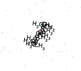 CC(=O)c1cc2c(cc1C(C)C)CCC1C(C)(C(=O)CC(=O)C3(C)CCCC4(C)c5cc(C(C)=O)c(C(C)C)cc5CCC34)CCCC21C